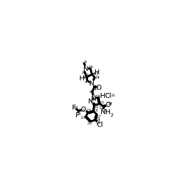 CN1C[C@@H]2CN(C(=O)Cn3cc(C(N)=O)c(-c4cc(Cl)ccc4OC(F)F)n3)C[C@@H]2C1.Cl